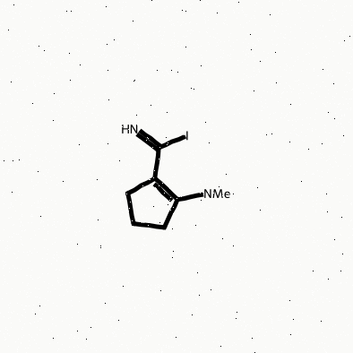 CNC1=C(C(=N)I)CCC1